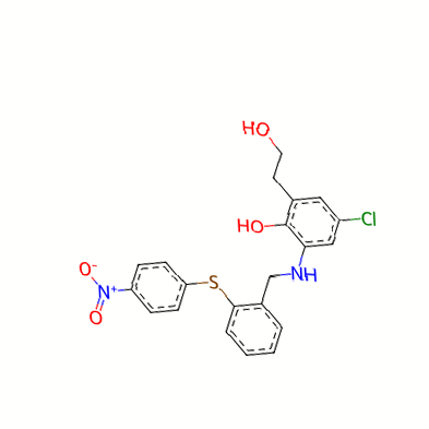 O=[N+]([O-])c1ccc(Sc2ccccc2CNc2cc(Cl)cc(CCO)c2O)cc1